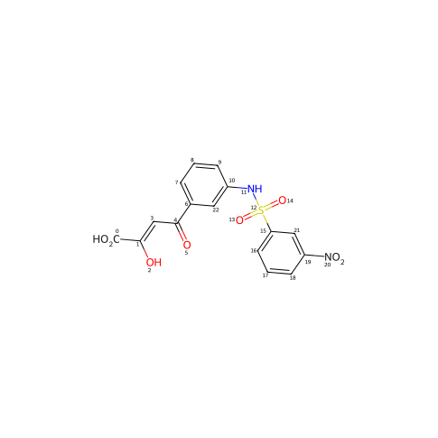 O=C(O)C(O)=CC(=O)c1cccc(NS(=O)(=O)c2cccc([N+](=O)[O-])c2)c1